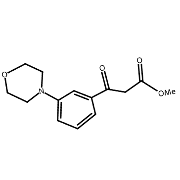 COC(=O)CC(=O)c1cccc(N2CCOCC2)c1